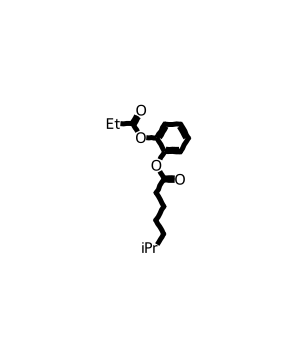 CCC(=O)Oc1ccccc1OC(=O)CCCCC(C)C